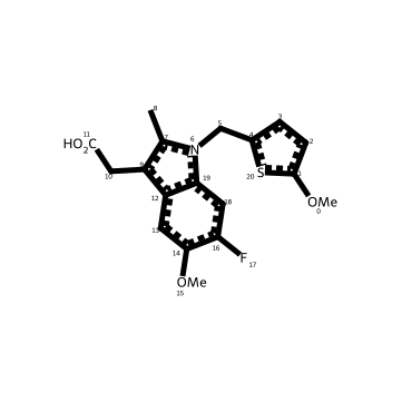 COc1ccc(Cn2c(C)c(CC(=O)O)c3cc(OC)c(F)cc32)s1